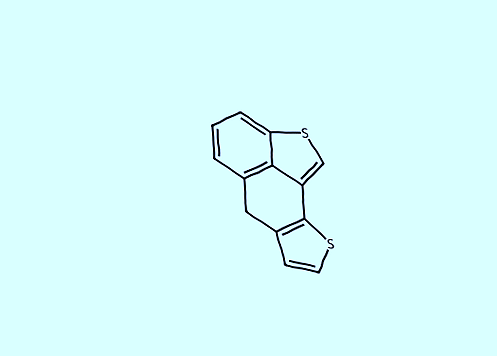 c1cc2c3c(csc3c1)-c1sccc1C2